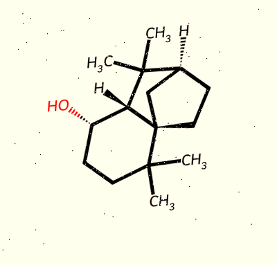 CC1(C)[C@H]2CC[C@]3(C2)[C@@H]1[C@@H](O)CCC3(C)C